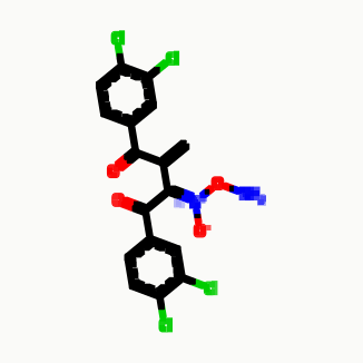 C=C(C(=O)c1ccc(Cl)c(Cl)c1)/C(C(=O)c1ccc(Cl)c(Cl)c1)=[N+](/[O-])ON